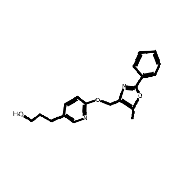 Cc1oc(-c2ccccc2)nc1COc1ccc(CCCO)cn1